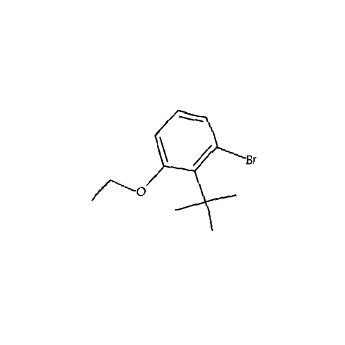 CCOc1cccc(Br)c1C(C)(C)C